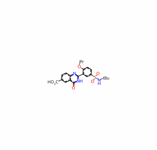 CC(C)Oc1ccc(S(=O)(=O)NC(C)(C)C)cc1-c1nc2ccc(C(=O)O)cc2c(=O)[nH]1